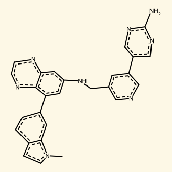 Cn1ccc2ccc(-c3cc(NCc4cncc(-c5cnc(N)nc5)c4)cc4nccnc34)cc21